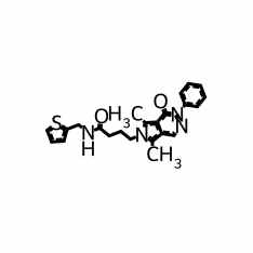 Cc1c2cnn(-c3ccccc3)c(=O)c2c(C)n1CCCC(=O)NCc1cccs1